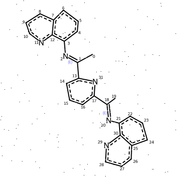 C/C(=N\c1cccc2cccnc12)c1cccc(/C(C)=N/c2cccc3cccnc23)n1